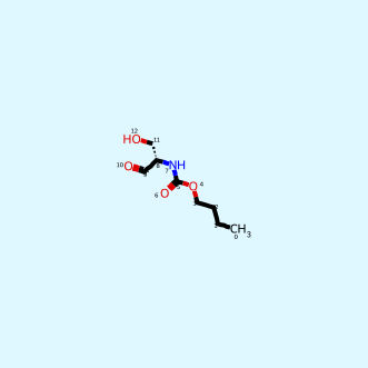 CCCCOC(=O)N[C@H]([C]=O)CO